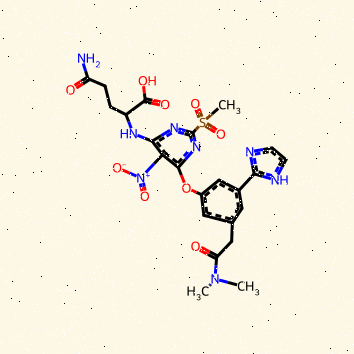 CN(C)C(=O)Cc1cc(Oc2nc(S(C)(=O)=O)nc(NC(CCC(N)=O)C(=O)O)c2[N+](=O)[O-])cc(-c2ncc[nH]2)c1